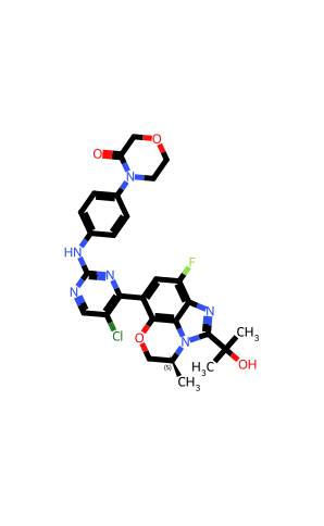 C[C@H]1COc2c(-c3nc(Nc4ccc(N5CCOCC5=O)cc4)ncc3Cl)cc(F)c3nc(C(C)(C)O)n1c23